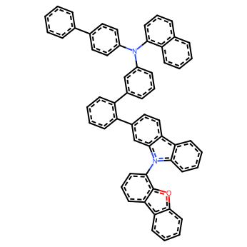 c1ccc(-c2ccc(N(c3cccc(-c4ccccc4-c4ccc5c6ccccc6n(-c6cccc7c6oc6ccccc67)c5c4)c3)c3cccc4ccccc34)cc2)cc1